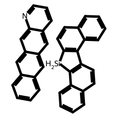 c1ccc2c3c(ccc2c1)-c1c(ccc2ccccc12)[SiH2]3.c1ccc2cc3cc4ncccc4cc3cc2c1